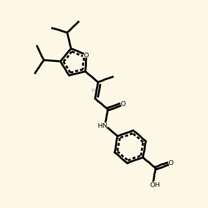 C/C(=C\C(=O)Nc1ccc(C(=O)O)cc1)c1cc(C(C)C)c(C(C)C)o1